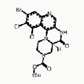 CC(C)(C)OC(=O)N1CCN2c3c(cnc4cc(Br)c(Cl)c(Cl)c34)NC(=O)[C@H]2C1